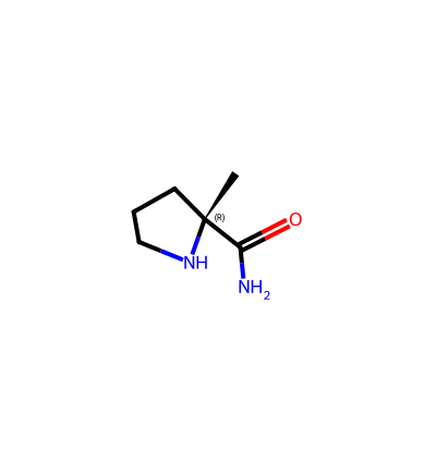 C[C@]1(C(N)=O)CCCN1